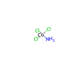 [NH2][Co]([Cl])([Cl])[Cl]